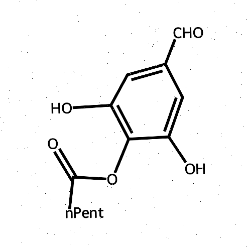 CCCCCC(=O)Oc1c(O)cc(C=O)cc1O